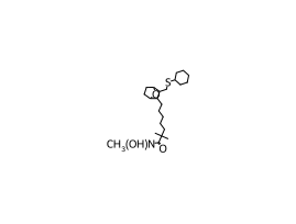 CN(O)C(=O)C(C)(C)CCCCCC1C2CCC(O2)C1CSC1CCCCC1